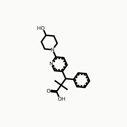 CC(C)(C(=O)O)C(c1ccccc1)c1ccc(N2CCC(O)CC2)nc1